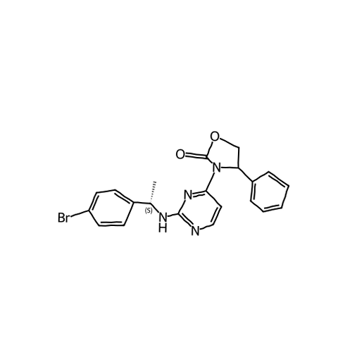 C[C@H](Nc1nccc(N2C(=O)OCC2c2ccccc2)n1)c1ccc(Br)cc1